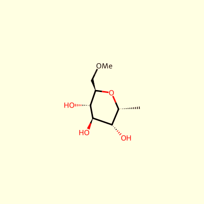 COC[C@H]1O[C@H](C)[C@H](O)[C@@H](O)[C@@H]1O